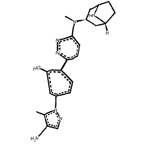 Cc1c(N)cnn1-c1ccc(-c2ccc(N(C)[C@H]3CC4CC[C@H](C3)N4)nn2)c(O)c1